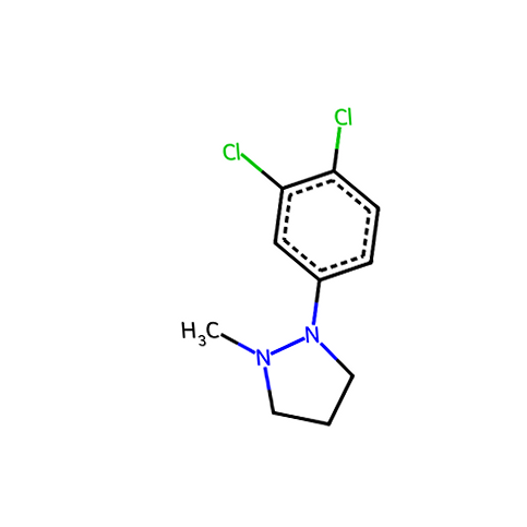 CN1CCCN1c1ccc(Cl)c(Cl)c1